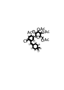 CC(=O)OC[C@H]1O[C@@H](c2ccc(Cl)c(C=C3CCC(C)(C)CC3)c2)[C@H](OC(C)=O)[C@@H](OC(C)=O)[C@@H]1OC(C)=O